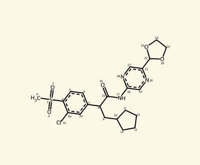 CS(=O)(=O)c1ccc(C(CC2CCCC2)C(=O)Nc2cnc(C3OCCO3)cn2)cc1Cl